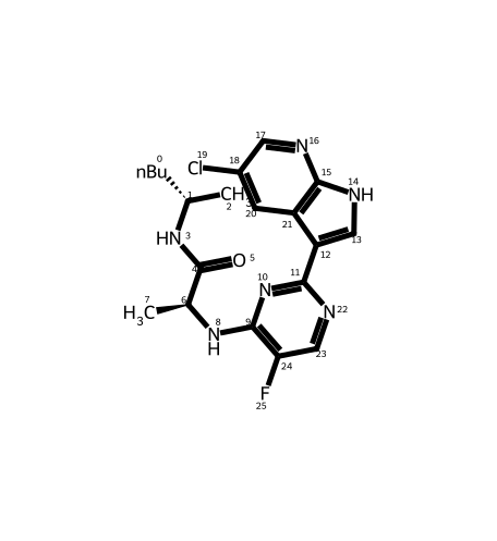 CCCC[C@H](C)NC(=O)[C@H](C)Nc1nc(-c2c[nH]c3ncc(Cl)cc23)ncc1F